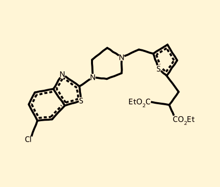 CCOC(=O)C(Cc1ccc(CN2CCN(c3nc4ccc(Cl)cc4s3)CC2)s1)C(=O)OCC